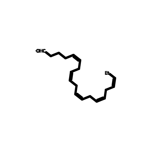 CC/C=C\C/C=C\C/C=C\C/C=C\C/C=C\CCC[C]=O